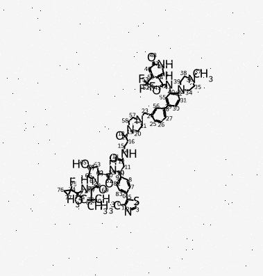 Cc1ncsc1-c1ccc([C@H](CC(=O)NCCC(=O)N2CCN(Cc3cccc(-c4ccc(N5CCN(C)CC5)c(NC(=O)c5c[nH]c(=O)cc5C(F)(F)F)c4)c3)CC2)NC(=O)[C@@H]2C[C@@H](O)CN2C(=O)[C@@H](NC(=O)C2(F)CC2)C(C)(C)C)cc1